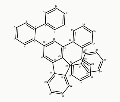 c1ccc(-c2ccccc2-c2cc(-c3ccccc3-c3ccccc3)c3c(c2)c2ccccc2n3-c2ccccc2)cc1